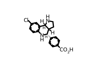 O=C(O)c1ccc([C@@H]2Nc3ccc(Cl)cc3[C@@H]3NCC[C@H]23)cc1